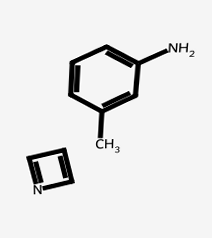 C1=CN=C1.Cc1cccc(N)c1